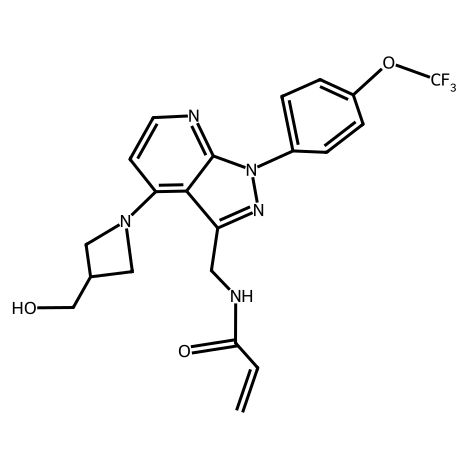 C=CC(=O)NCc1nn(-c2ccc(OC(F)(F)F)cc2)c2nccc(N3CC(CO)C3)c12